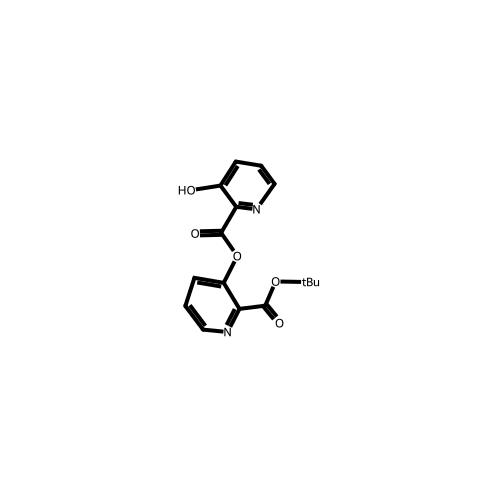 CC(C)(C)OC(=O)c1ncccc1OC(=O)c1ncccc1O